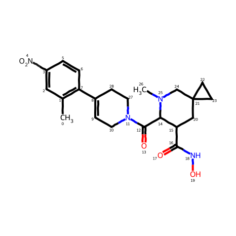 Cc1cc([N+](=O)[O-])ccc1C1=CCN(C(=O)C2C(C(=O)NO)CC3(CC3)CN2C)CC1